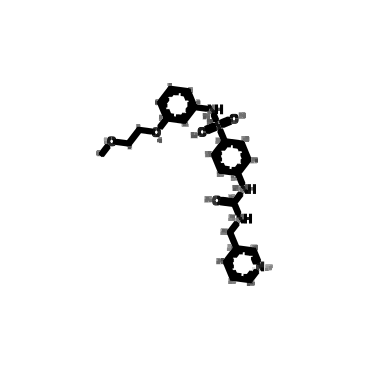 COCCOc1cccc(NS(=O)(=O)c2ccc(NC(=O)NCc3cccnc3)cc2)c1